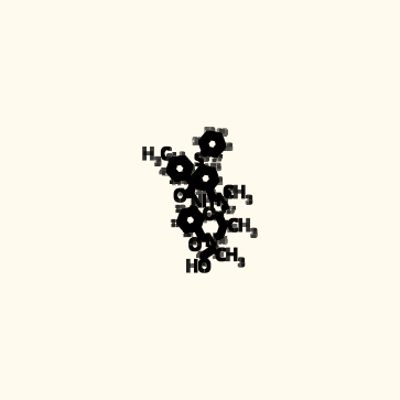 Cc1ccc(CC(=O)Nc2cccc3c2O[C@H](CN(C)Cc2ccc(Sc4ccccc4)cc2)[C@H](C)CN([C@@H](C)CO)C3=O)cc1